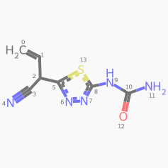 C=CC(C#N)c1nnc(NC(N)=O)s1